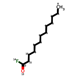 CCCCCCCCCCCCC(=O)F